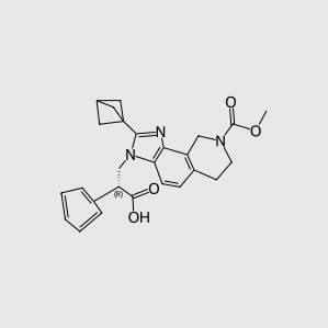 COC(=O)N1CCc2ccc3c(nc(C45CC(C4)C5)n3C[C@H](C(=O)O)c3ccccc3)c2C1